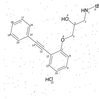 CC(C)(C)NCC(O)COc1ccccc1C#Cc1ccccc1.Cl